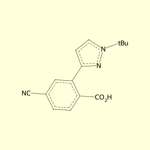 CC(C)(C)n1ccc(-c2cc(C#N)ccc2C(=O)O)n1